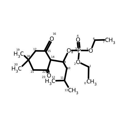 CCOP(=O)(OCC)OC(CC(C)C)C1C(=O)CC(C)(C)CC1=O